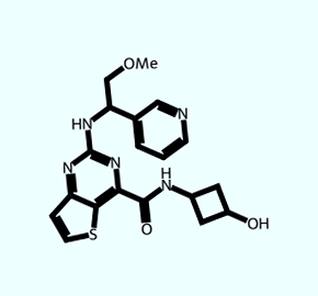 COCC(Nc1nc(C(=O)NC2CC(O)C2)c2sccc2n1)c1cccnc1